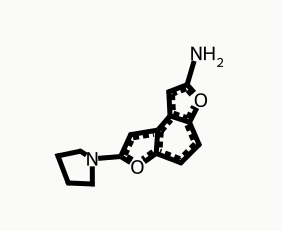 Nc1cc2c(ccc3oc(N4CCCC4)cc32)o1